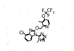 Cc1c(OC(F)(F)C(F)(F)F)ccnc1COc1nc2c(Cl)cccc2n1-c1nnnn1C